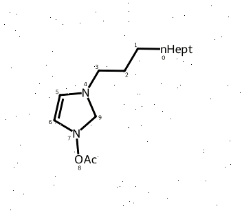 CCCCCCCCCCN1C=CN(OC(C)=O)C1